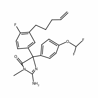 C=CCCCc1cc(C2(c3ccc(OC(F)F)cc3)N=C(N)N(C)C2=O)ccc1F